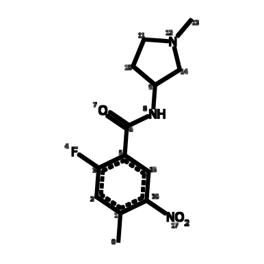 Cc1cc(F)c(C(=O)NC2CCN(C)C2)cc1[N+](=O)[O-]